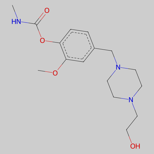 CNC(=O)Oc1ccc(CN2CCN(CCO)CC2)cc1OC